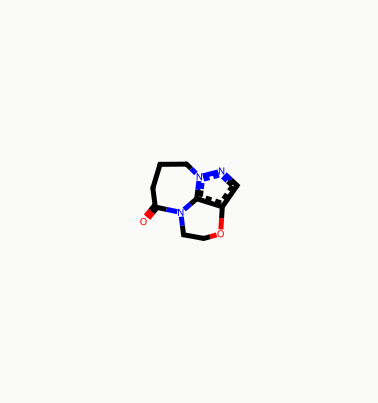 O=C1CCCn2ncc3c2N1CCO3